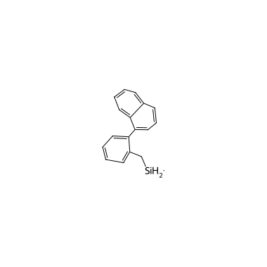 [SiH2]Cc1ccccc1-c1cccc2ccccc12